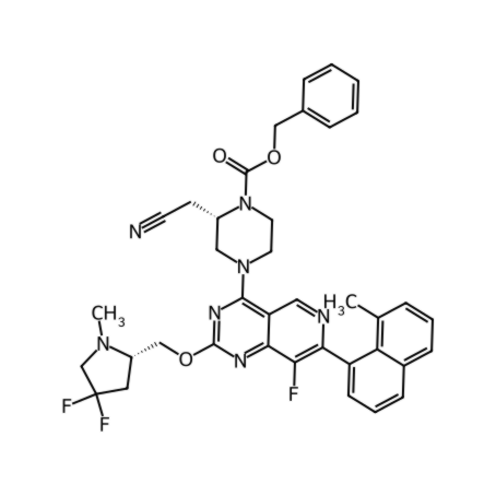 Cc1cccc2cccc(-c3ncc4c(N5CCN(C(=O)OCc6ccccc6)[C@@H](CC#N)C5)nc(OC[C@@H]5CC(F)(F)CN5C)nc4c3F)c12